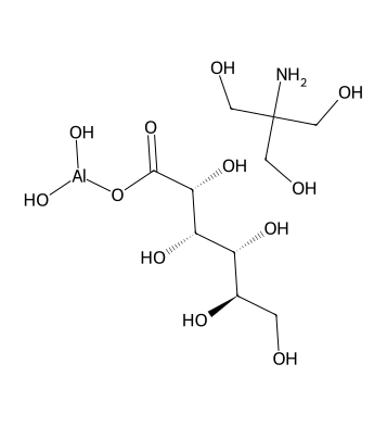 NC(CO)(CO)CO.O=C([O][Al]([OH])[OH])[C@H](O)[C@@H](O)[C@H](O)[C@H](O)CO